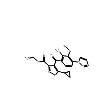 CCOC(=O)c1noc(C2CC2)c1C(=O)c1ccc(-n2ccnn2)c(OC)c1C